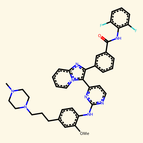 COc1cc(CCCN2CCN(C)CC2)ccc1Nc1nccc(-c2c(-c3cccc(C(=O)Nc4c(F)cccc4F)c3)nc3ccccn23)n1